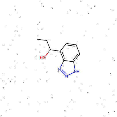 CCC(O)c1cccc2[nH]nnc12